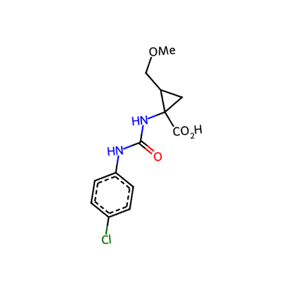 COCC1CC1(NC(=O)Nc1ccc(Cl)cc1)C(=O)O